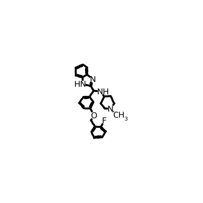 CN1CCC(NC(c2cccc(OCc3ccccc3F)c2)c2nc3ccccc3[nH]2)CC1